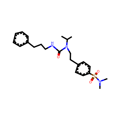 CC(C)N(CCc1ccc(S(=O)(=O)N(C)C)cc1)C(=O)NCCCc1ccccc1